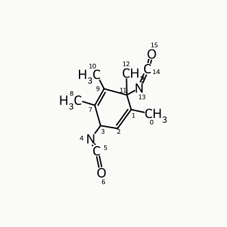 CC1=CC(N=C=O)C(C)=C(C)C1(C)N=C=O